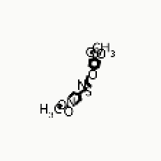 COC(=O)N1CCC(c2nc(COc3ccc(S(C)(=O)=O)cc3)cs2)CC1